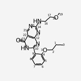 CCCOc1ccccc1-c1nc2nc(NCCOC)ncc2c(=O)[nH]1